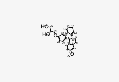 COc1ccc2c(c1)CC[C@H](c1ccccc1)[C@H]2c1ccc(OCC(O)CO)cc1